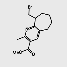 COC(=O)c1cc2c(nc1C)C(CBr)CCCC2